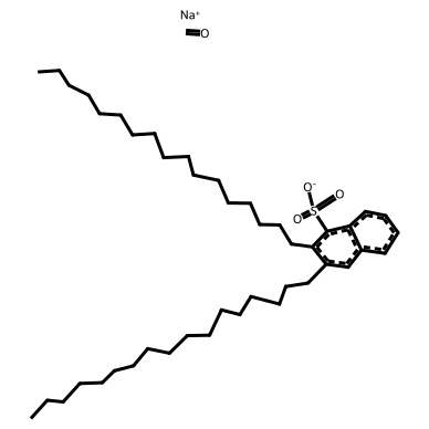 C=O.CCCCCCCCCCCCCCCCCc1cc2ccccc2c(S(=O)(=O)[O-])c1CCCCCCCCCCCCCCCCC.[Na+]